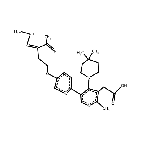 CN/C=C(/CCOc1ccc(-c2cnc(C)c(CC(=O)O)c2N2CCC(C)(C)CC2)nc1)C(C)=N